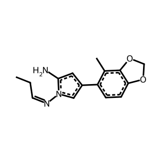 CC/C=N\n1cc(-c2ccc3c(c2C)OCO3)cc1N